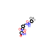 Cc1cccc(NC(=O)NCc2ccc3c(c2)C(=O)N(C2CCC(=O)NC2=O)C3=O)c1